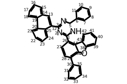 N/C(=N\C(=N/Cc1ccccc1)c1cc2ccccc2c2ccccc12)c1ccc(-c2ccccc2)c2oc3ccccc3c12